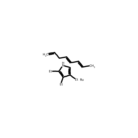 C=CCC=CC=CC.CCc1c[nH]c(CC)c1CC.[Ru]